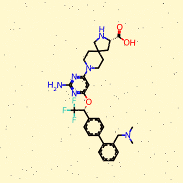 CN(C)Cc1ccccc1-c1ccc([C@@H](Oc2cc(N3CCC4(CC3)CN[C@H](C(=O)O)C4)nc(N)n2)C(F)(F)F)cc1